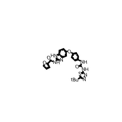 CC(C)(C)c1nnc(NC(=O)Nc2ccc(Oc3ccc4[nH]c(NC(=O)c5ccco5)nc4c3)cc2)s1